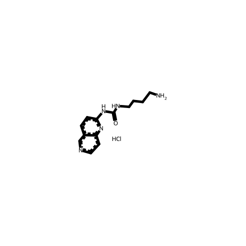 Cl.NCCCCNC(=O)Nc1ccc2cnccc2n1